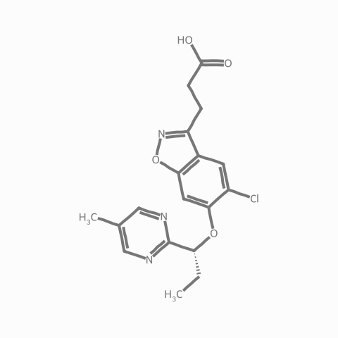 CC[C@@H](Oc1cc2onc(CCC(=O)O)c2cc1Cl)c1ncc(C)cn1